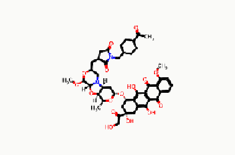 COc1cccc2c1C(=O)c1c(O)c3c(c(O)c1C2=O)C[C@@](O)(C(=O)CO)C[C@@H]3O[C@H]1C[C@H]2[C@H](O[C@@H]3[C@@H](OC)OC(CC4CC(=O)N(CC5CCC(C(C)=O)CC5)C4=O)CN32)[C@H](C)O1